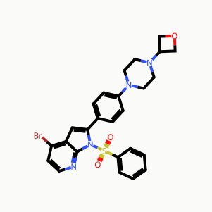 O=S(=O)(c1ccccc1)n1c(-c2ccc(N3CCN(C4COC4)CC3)cc2)cc2c(Br)ccnc21